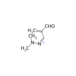 C=C(C=O)/C=N\N(C)C